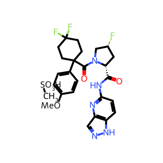 COc1ccc(C2(C(=O)N3C[C@H](F)C[C@@H]3C(=O)Nc3ccc4[nH]ncc4n3)CCC(F)(F)CC2)cc1.CS(=O)(=O)O